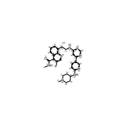 CNC(=O)c1c(F)cnc2c([C@H](C)CNc3cc(-c4ccc(NC5CCN(C)CC5)nc4)ncn3)cccc12